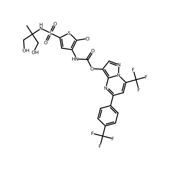 CC(CO)(CO)NS(=O)(=O)c1cc(NC(=O)Oc2cnn3c(C(F)(F)F)cc(-c4ccc(C(F)(F)F)cc4)nc23)c(Cl)s1